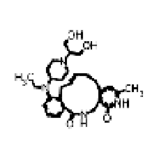 CCN(c1cccc2c1C/C=C/CCc1cc(C)[nH]c(=O)c1CNC2=O)C1CCN(C(CO)CO)CC1